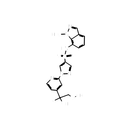 COCC(C)(F)c1ccnc(-n2cc(S(=O)(=O)Nc3cccc4cnn(C)c34)cn2)c1